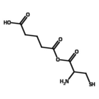 NC(CS)C(=O)OC(=O)CCCC(=O)O